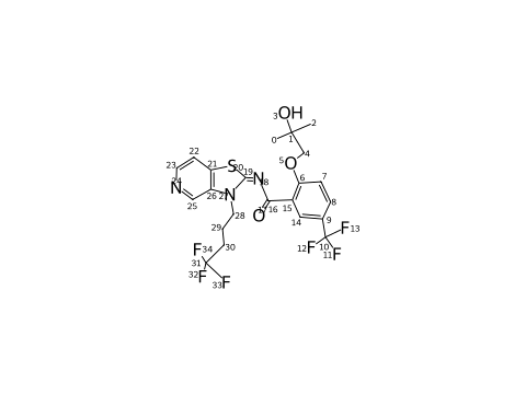 CC(C)(O)COc1ccc(C(F)(F)F)cc1C(=O)N=c1sc2ccncc2n1CCCC(F)(F)F